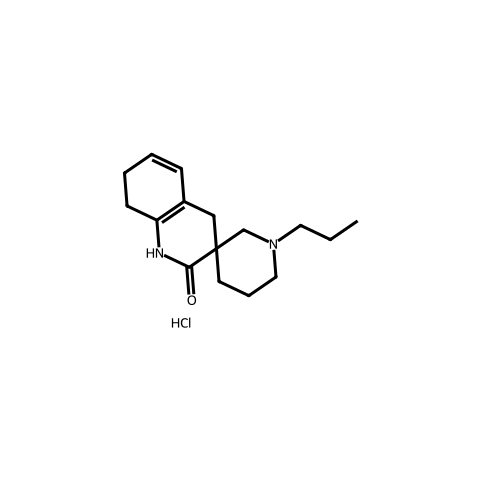 CCCN1CCCC2(CC3=C(CCC=C3)NC2=O)C1.Cl